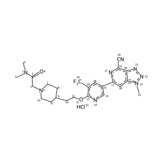 CN(C)C(=O)CN1CCC(CCOc2ncc(-c3cc4c(nnn4C)c(C#N)n3)cc2C(F)(F)F)CC1.Cl